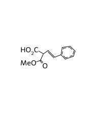 COC(=O)C(C=Cc1ccccc1)C(=O)O